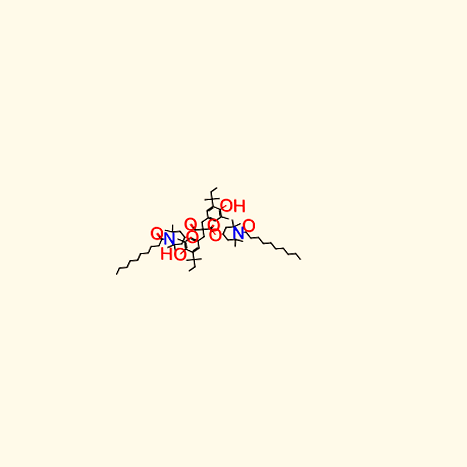 CCCCCCCCCC(=O)N1C(C)(C)CC(OC(=O)C(Cc2cc(C)c(O)c(C(C)(C)CC)c2)(Cc2cc(C)c(O)c(C(C)(C)CC)c2)C(=O)OC2CC(C)(C)N(C(=O)CCCCCCCCC)C(C)(C)C2)CC1(C)C